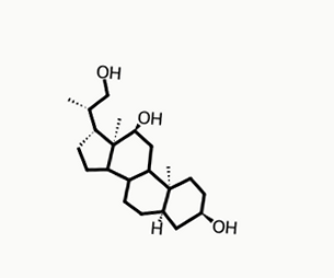 C[C@H](CO)[C@H]1CCC2C3CC[C@@H]4C[C@H](O)CC[C@]4(C)C3C[C@H](O)[C@@]21C